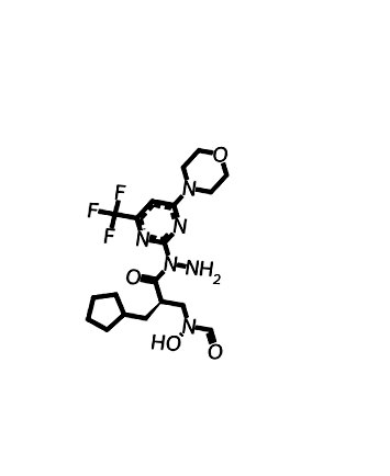 NN(C(=O)[C@H](CC1CCCC1)CN(O)C=O)c1nc(N2CCOCC2)cc(C(F)(F)F)n1